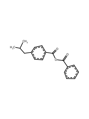 CC(C)Cc1ccc(C(=O)OC(=O)c2ccccc2)cc1